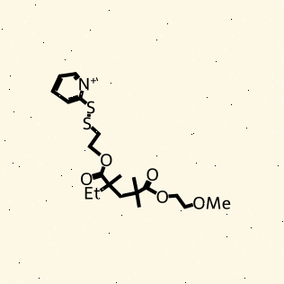 CCC(C)(CC(C)(C)C(=O)OCCOC)C(=O)OCCSSc1cccc[n+]1C